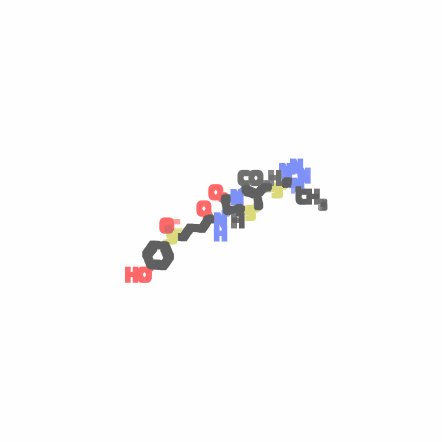 Cn1nnnc1SCC1=C(C(=O)O)N2C(=O)C(NC(=O)CCC[S+]([O-])c3ccc(O)cc3)[C@@H]2SC1